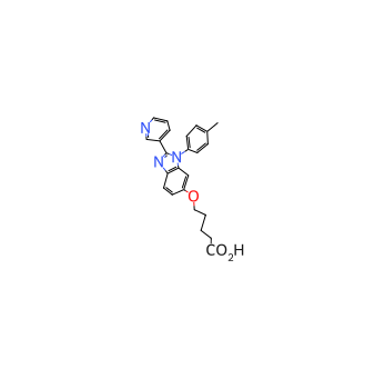 Cc1ccc(-n2c(-c3cccnc3)nc3ccc(OCCCCC(=O)O)cc32)cc1